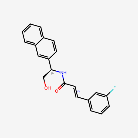 O=C(/C=C/c1cccc(F)c1)N[C@@H](CO)c1ccc2ccccc2c1